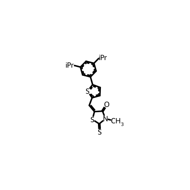 CC(C)c1cc(-c2ccc(/C=C3/SC(=S)N(C)C3=O)s2)cc(C(C)C)c1